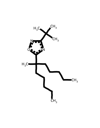 CCCCCC(C)(CCCCC)c1nc(C(C)(C)C)no1